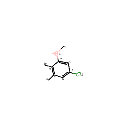 CBc1cc(Cl)cc(C)c1C